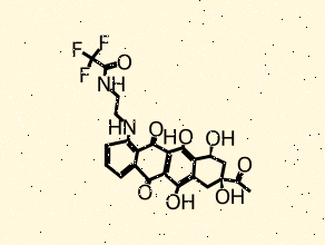 CC(=O)[C@]1(O)Cc2c(O)c3c(c(O)c2[C@@H](O)C1)C(=O)c1c(NCCNC(=O)C(F)(F)F)cccc1C3=O